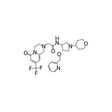 O=C(CN1CCn2c(cc(C(F)(F)F)cc2=O)C1)NC1CN(C2CCOCC2)C[C@@H]1OCc1ccccn1